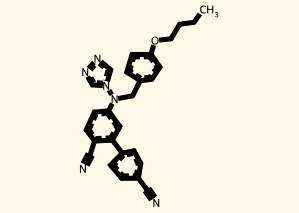 CCCCOc1ccc(CN(c2ccc(C#N)c(-c3ccc(C#N)cc3)c2)n2cnnc2)cc1